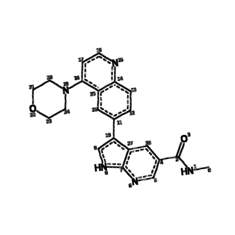 CNC(=O)c1cnc2[nH]cc(-c3ccc4nccc(N5CCOCC5)c4c3)c2c1